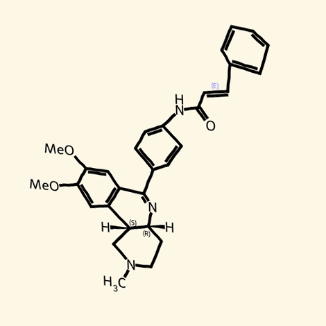 COc1cc2c(cc1OC)[C@H]1CN(C)CC[C@H]1N=C2c1ccc(NC(=O)/C=C/c2ccccc2)cc1